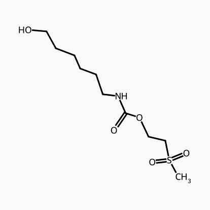 CS(=O)(=O)CCOC(=O)NCCCCCCO